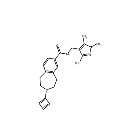 Cc1nn(C)c(C)c1CNC(=O)c1ccc2c(c1)CCN(C1=CC=C1)CC2